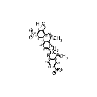 CCc1cc([N+](=O)[O-])ccc1N=C(C)c1cccc(C(C)=Nc2ccc([N+](=O)[O-])cc2CC)n1